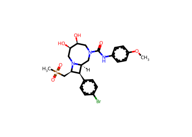 COc1ccc(NC(=O)N2C[C@H](O)[C@H](O)CN3[C@H](CS(C)(=O)=O)[C@H](c4ccc(Br)cc4)[C@@H]3C2)cc1